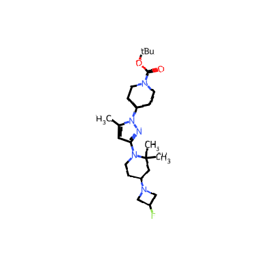 Cc1cc(N2CCC(N3CC(F)C3)CC2(C)C)nn1C1CCN(C(=O)OC(C)(C)C)CC1